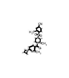 Cc1cc(C#N)ccc1S(=O)(=O)N1CCN(C(=O)c2ccc(N3CCC3)nc2C)[C@@H](C)C1